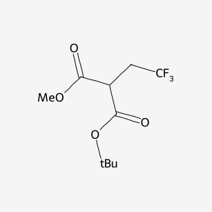 COC(=O)C(CC(F)(F)F)C(=O)OC(C)(C)C